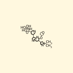 CC(C)n1cc(-c2cn3ncc(-c4cncc(C(=O)NC(O)(O)O)c4)c3nc2OC2CCOC2)cn1